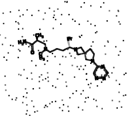 CC(C)[C@@H](CCCN(C)C[C@H](C)C(N)=O)N1CC2(CCN(c3cnncn3)C2)C1